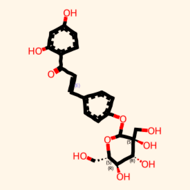 O=C(/C=C/c1ccc(OC2O[C@@H](CO)[C@H](O)[C@@H](O)[C@@]2(O)CO)cc1)c1ccc(O)cc1O